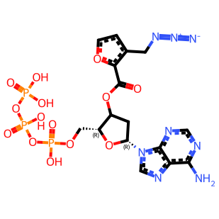 [N-]=[N+]=NCc1ccoc1C(=O)OC1C[C@H](n2cnc3c(N)ncnc32)O[C@@H]1COP(=O)(O)OP(=O)(O)OP(=O)(O)O